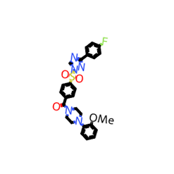 COc1ccccc1N1CCN(C(=O)c2ccc(S(=O)(=O)n3cnc(-c4ccc(F)cc4)n3)cc2)CC1